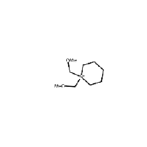 COC[N+]1(COC)CCCCC1